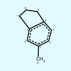 Cc1ccc2c(c1)[CH]CC2